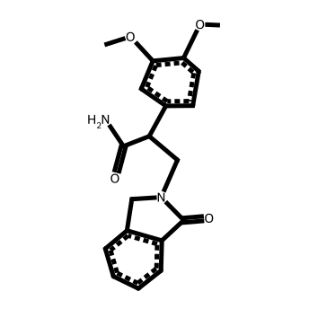 COc1ccc(C(CN2Cc3ccccc3C2=O)C(N)=O)cc1OC